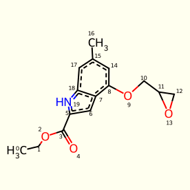 CCOC(=O)c1cc2c(OCC3CO3)cc(C)cc2[nH]1